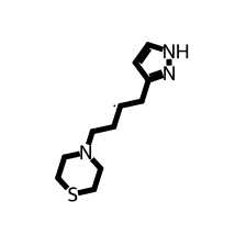 [CH](CCN1CCSCC1)Cc1cc[nH]n1